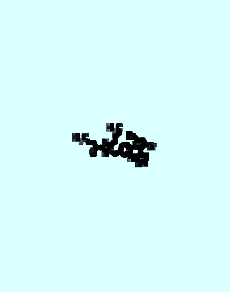 CCCCc1nc(C(=O)CCC)nn1Cc1ccc(-n2c(Br)cc(Br)c2-c2nnn[nH]2)cc1